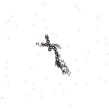 C=C(CCCC(C)C)[C@H]1CC[C@H]2[C@@H]3CC=C4C[C@@H](OC(=O)N5CCN(c6ccc7c(c6)-c6c(c8c(c9ccccc69)O[C@@](c6ccc(OC)cc6)(c6ccc(N9CCOCC9)cc6)C=C8)C7(C)C)CC5)CC[C@]4(C)[C@H]3CC[C@@]12C